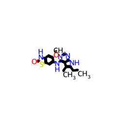 CCCc1[nH]c2ncnc(Nc3cc4sc(=O)[nH]c4cc3OC)c2c1CC